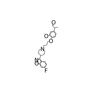 COc1cc(C(C)C=O)ccc1OCCCN1CCC(c2noc3cc(F)ccc23)CC1